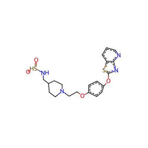 O=[SH](=O)NCC1CCN(CCOc2ccc(Oc3nc4ncccc4s3)cc2)CC1